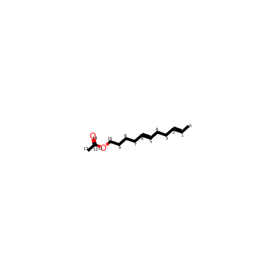 CC=CCCC=CCCCCOC(C)=O